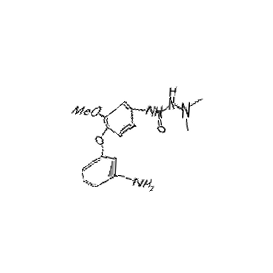 COc1cc(NC(=O)NN(C)C)ccc1Oc1cccc(N)c1